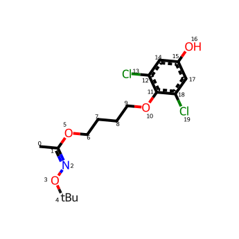 CC(=NOC(C)(C)C)OCCCCOc1c(Cl)cc(O)cc1Cl